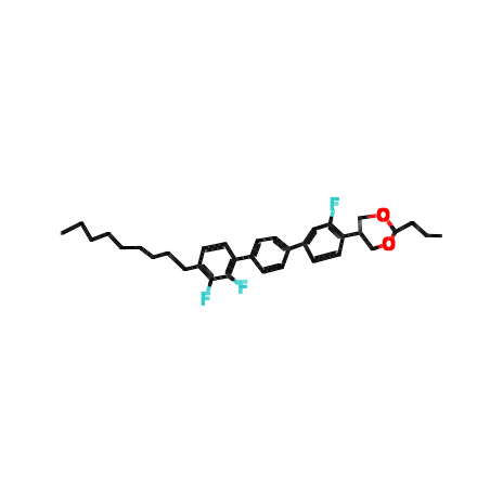 CCCCCCCCCc1ccc(-c2ccc(-c3ccc(C4COC(CCC)OC4)c(F)c3)cc2)c(F)c1F